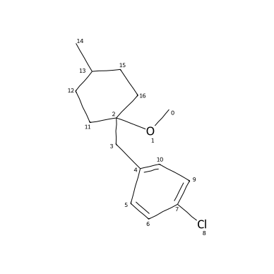 COC1(Cc2ccc(Cl)cc2)CCC(C)CC1